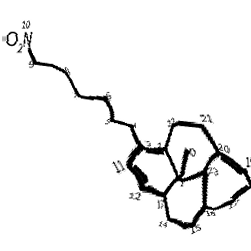 CC12C3=C(CCCCCC[N+](=O)[O-])C=CC1CCC1C=CC=C(CC3)C12